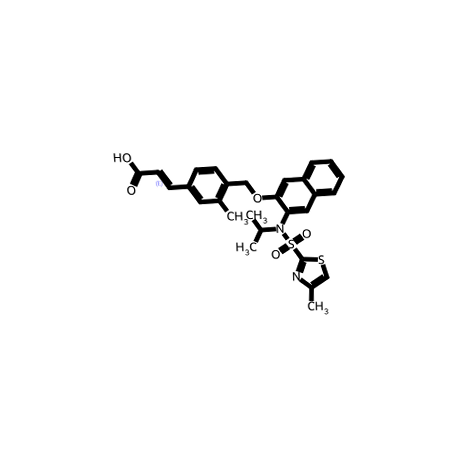 Cc1csc(S(=O)(=O)N(c2cc3ccccc3cc2OCc2ccc(/C=C/C(=O)O)cc2C)C(C)C)n1